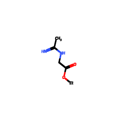 CCOC(=O)CNC(C)=N